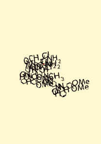 COc1ccc(C2=NN(C3CCN(C(=O)[C@H](C)NCC(OC(=O)/C=C/C(=O)OC(CN[C@@H](C)C(=O)N4CCC(N5N=C(c6ccc(OC)c(OC)c6)[C@H]6CC=CC[C@H]6C5=O)CC4)c4cc(N)c(N)c(Cl)c4)c4cc(N)c(N)c(Cl)c4)CC3)C(=O)[C@@H]3CC=CC[C@H]23)cc1OC